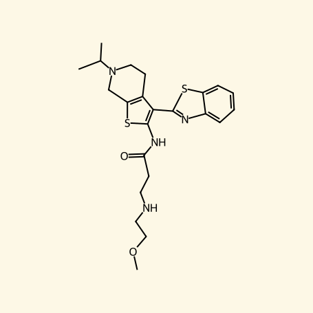 COCCNCCC(=O)Nc1sc2c(c1-c1nc3ccccc3s1)CCN(C(C)C)C2